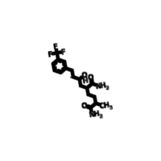 CC(CCC(CC(O)[CH]Cc1cccc(C(F)(F)F)c1)C(N)=O)C(N)=O